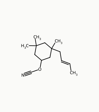 CC=CCC1(C)CC(OC#N)CC(C)(C)C1